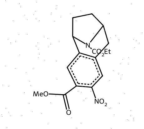 CCOC(=O)N1C2CCC1c1cc(C(=O)OC)c([N+](=O)[O-])cc1C2